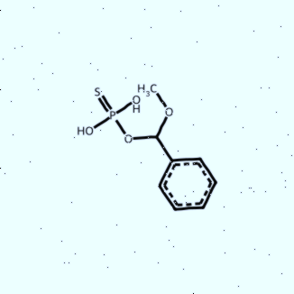 COC(OP(O)(O)=S)c1ccccc1